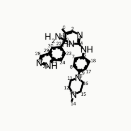 CC1=CN=C(Nc2ccc(N3CCN(C)CC3)cc2)NC1(N)c1ccc2[nH]ncc2c1